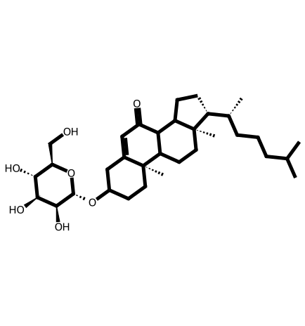 CC(C)CCC[C@@H](C)[C@H]1CCC2C3C(=O)C=C4CC(O[C@H]5O[C@H](CO)[C@@H](O)[C@H](O)[C@@H]5O)CC[C@]4(C)C3CC[C@@]21C